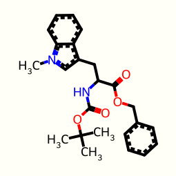 Cn1cc(CC(NC(=O)OC(C)(C)C)C(=O)OCc2ccccc2)c2ccccc21